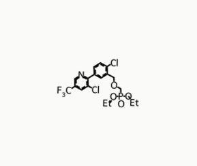 CCOP(=O)(COCc1cc(-c2ncc(C(F)(F)F)cc2Cl)ccc1Cl)OCC